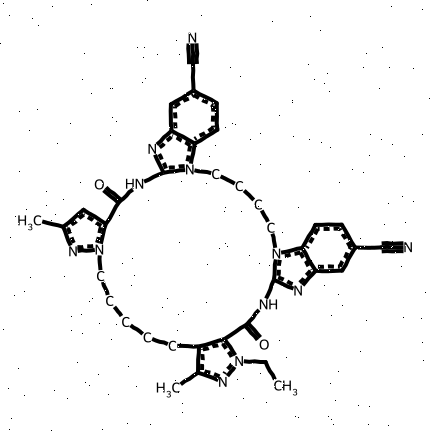 CCn1nc(C)c2c1C(=O)Nc1nc3cc(C#N)ccc3n1CCCCn1c(nc3cc(C#N)ccc31)NC(=O)c1cc(C)nn1CCCCC2